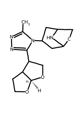 Cc1nnc(C2CO[C@H]3OCCC23)n1C1CC2CCC(C1)N2